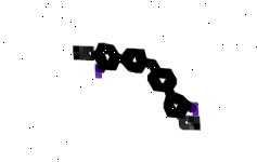 N#Cc1ccc(-c2ccc(Cc3ccc(-c4ccc(C#N)c(I)c4)cc3)cc2)cc1I